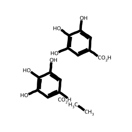 CC.O=C(O)c1cc(O)c(O)c(O)c1.O=C(O)c1cc(O)c(O)c(O)c1